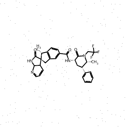 C[C@@H]1[C@H](c2ccccc2)C[C@H](NC(=O)c2ccc3c(c2)C[C@@]2(C(=O)NC4N=CC=CC42)[C@@H]3C)C(=O)N1CC(F)(F)F